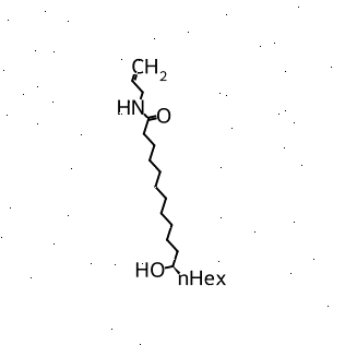 C=CCNC(=O)CCCCCCCCCC[C@H](O)CCCCCC